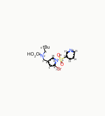 CC(C)(C)CN(Cc1cc(Br)n(S(=O)(=O)c2cccnc2)c1)C(=O)O